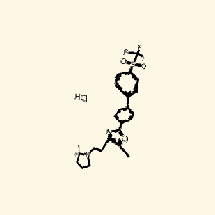 Cc1oc(-c2ccc(-c3ccc(S(=O)(=O)C(F)(F)F)cc3)cc2)nc1CCN1CCC[C@H]1C.Cl